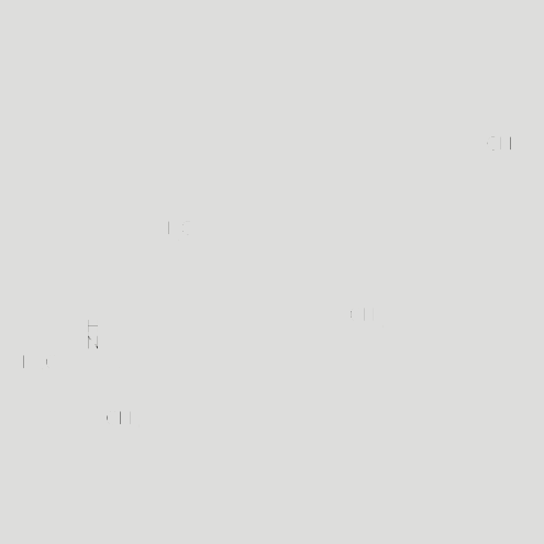 [C]#CC(C)CCCC(C)CCCC(C)CCCC(C)NC